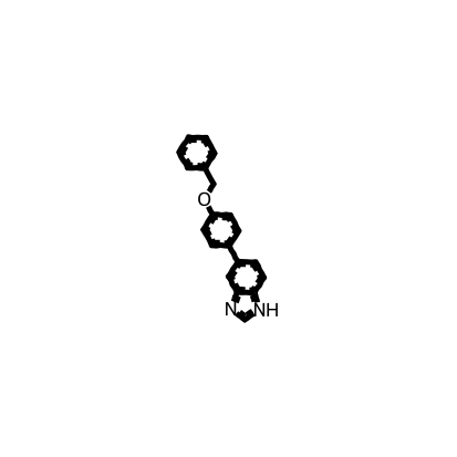 c1ccc(COc2ccc(-c3ccc4[nH]cnc4c3)cc2)cc1